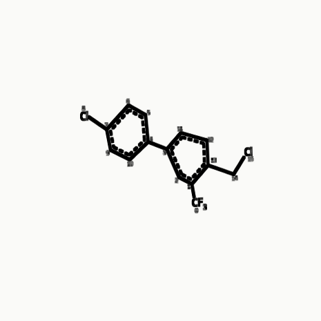 FC(F)(F)c1cc(-c2ccc(Cl)cc2)ccc1CCl